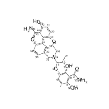 CC(O)C(Oc1ccc(O)c(C(N)=O)c1)N(CCOc1ccc(O)c(C(N)=O)c1)Cc1ccccc1